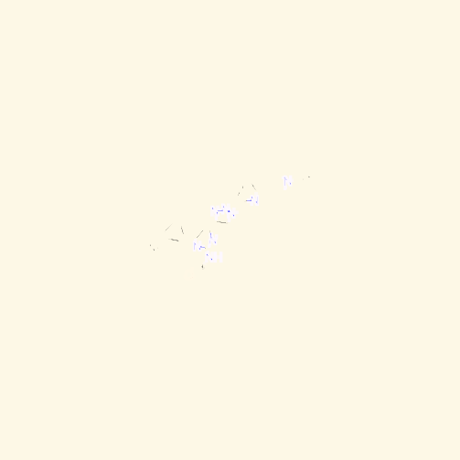 CC(=O)ON1CCC(c2cccc(Cn3cc(-c4cc(-c5cccc(C#N)c5)nc(N[C@@H]5CCOC5)n4)nn3)n2)CC1